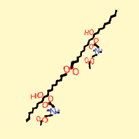 CCCCCCCCC(O)C(CCCCCCCCCC(=O)OCCCCCCCCC(OC(=O)C[N+](C)(C)CCOC(C)=O)C(O)CCCCCCCC)OC(=O)C[N+](C)(C)CCOC(C)=O